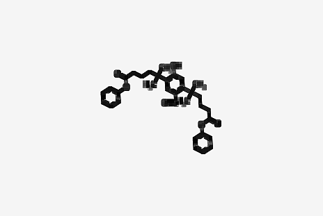 COc1cc(C(C)(C)CCCC(=O)Oc2ccccc2)c(O)cc1C(C)(C)CCCC(=O)Oc1ccccc1